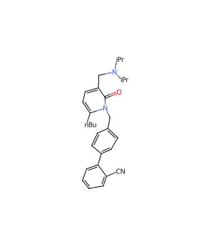 CCCCc1ccc(CN(C(C)C)C(C)C)c(=O)n1Cc1ccc(-c2ccccc2C#N)cc1